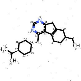 CCC1CCC2=C(Cc3ncnc(C[C@H]4CC[C@H](C(C)C)CC4)c32)C1